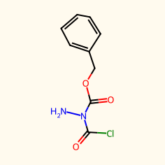 NN(C(=O)Cl)C(=O)OCc1ccccc1